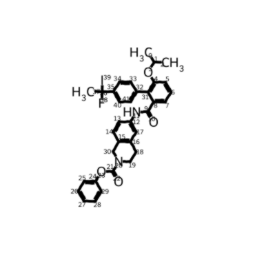 CC(C)Oc1cccc(C(=O)Nc2ccc3c(c2)CCN(C(=O)Oc2ccccc2)C3)c1-c1ccc(C(C)(F)I)cc1